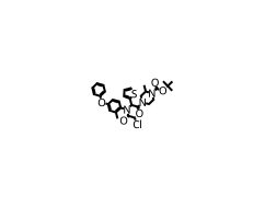 Cc1cc(Oc2ccccc2)ccc1N(C(=O)CCl)C(C(=O)N1CCN(C(=O)OC(C)(C)C)C(C)C1)c1cccs1